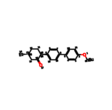 CCCCOc1ccc(-c2ccc([C@@H]3CC[C@@H](CC)CC3=O)cc2)cc1